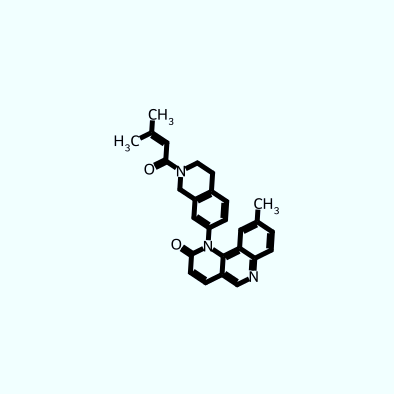 CC(C)=CC(=O)N1CCc2ccc(-n3c(=O)ccc4cnc5ccc(C)cc5c43)cc2C1